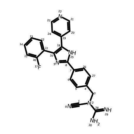 N#CN(Cc1ccc(-c2nc(-c3ccccc3F)c(-c3ccncc3)[nH]2)cc1)C(=N)N